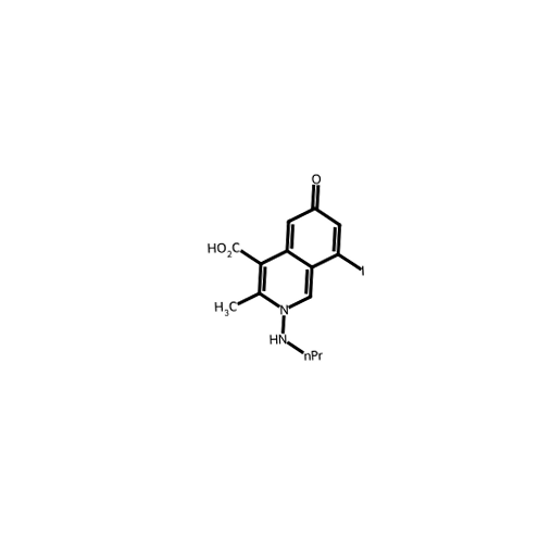 CCCNn1cc2c(I)cc(=O)cc-2c(C(=O)O)c1C